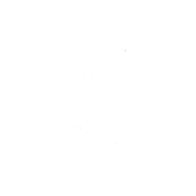 Nc1ccc(C(OC(c2ccc(N)cc2N)C(F)(F)F)C(F)(F)F)c(N)c1